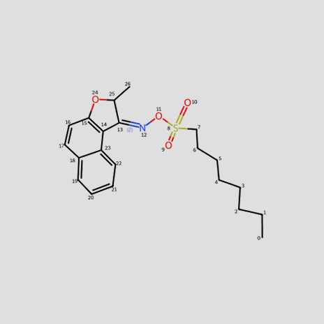 CCCCCCCCS(=O)(=O)O/N=C1/c2c(ccc3ccccc23)OC1C